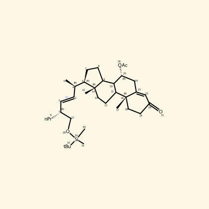 CCC[C@H](/C=C/[C@@H](C)[C@H]1CCC2C3C(CC[C@@]21C)[C@@]1(C)CCC(=O)C=C1C[C@H]3OC(C)=O)CO[Si](C)(C)C(C)(C)C